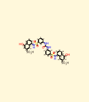 O=C(Nc1cccc(S(=O)(=O)Nc2cccc3c(O)cc(S(=O)(=O)O)cc23)c1)Nc1cccc(S(=O)(=O)Nc2cccc3c(O)cc(S(=O)(=O)O)cc23)c1